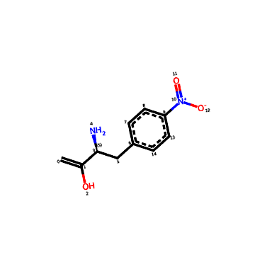 C=C(O)[C@@H](N)Cc1ccc([N+](=O)[O-])cc1